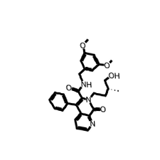 COc1cc(CNC(=O)c2c(-c3ccccc3)c3cccnc3c(=O)n2CC[C@@H](C)CO)cc(OC)c1